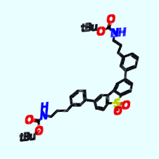 CC(C)(C)OC(=O)NCCCc1cccc(-c2ccc3c(c2)-c2cc(-c4cccc(CCCNC(=O)OC(C)(C)C)c4)ccc2S3(=O)=O)c1